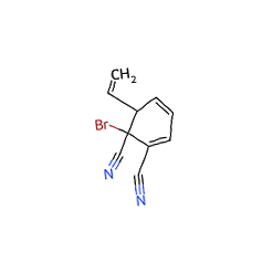 C=CC1C=CC=C(C#N)C1(Br)C#N